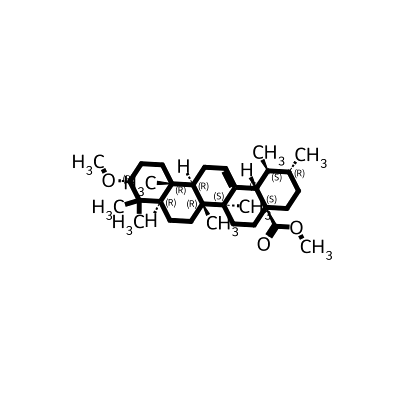 COC(=O)[C@]12CC[C@@H](C)[C@H](C)[C@H]1C1=CC[C@@H]3[C@@]4(C)CC[C@@H](OC)C(C)(C)[C@@H]4CC[C@@]3(C)[C@]1(C)CC2